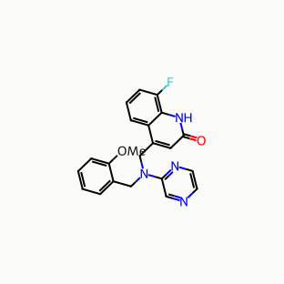 COc1ccccc1CN(Cc1cc(=O)[nH]c2c(F)cccc12)c1cnccn1